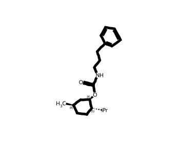 CC(C)[C@@H]1CC[C@@H](C)C[C@H]1OC(=O)NCCCc1ccccc1